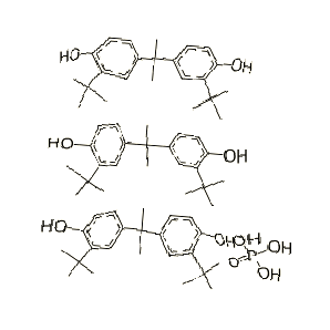 CC(C)(C)c1cc(C(C)(C)c2ccc(O)c(C(C)(C)C)c2)ccc1O.CC(C)(C)c1cc(C(C)(C)c2ccc(O)c(C(C)(C)C)c2)ccc1O.CC(C)(C)c1cc(C(C)(C)c2ccc(O)c(C(C)(C)C)c2)ccc1O.O=P(O)(O)O